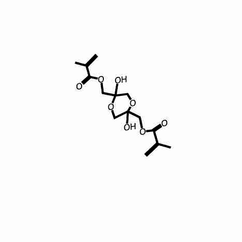 C=C(C)C(=O)OCC1(O)COC(O)(COC(=O)C(=C)C)CO1